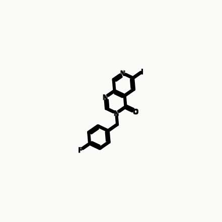 O=c1c2cc(I)ncc2ncn1Cc1ccc(F)cc1